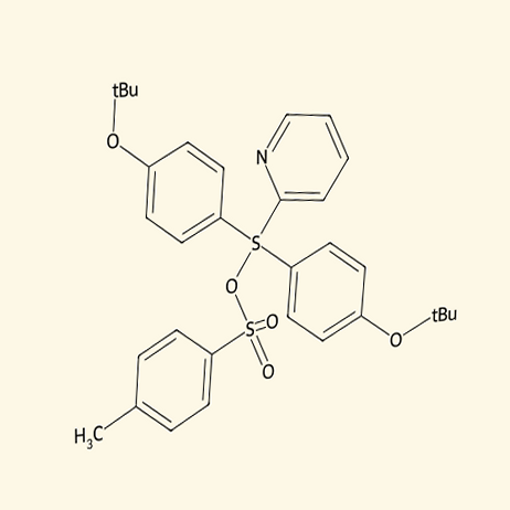 Cc1ccc(S(=O)(=O)OS(c2ccc(OC(C)(C)C)cc2)(c2ccc(OC(C)(C)C)cc2)c2ccccn2)cc1